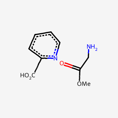 COC(=O)CN.O=C(O)c1ccccn1